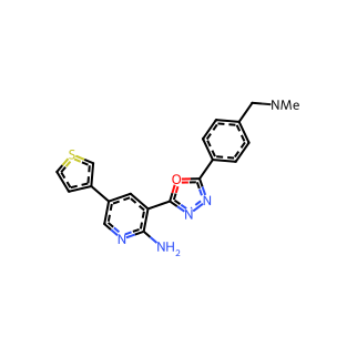 CNCc1ccc(-c2nnc(-c3cc(-c4ccsc4)cnc3N)o2)cc1